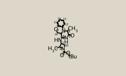 CC1C(NN2NC(=O)C(C)N3c4ccccc4OCC23)CN1C(=O)OC(C)(C)C